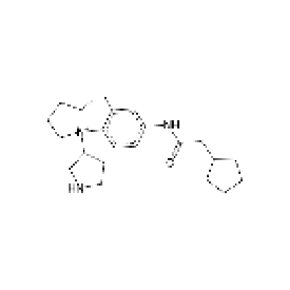 Cc1cc(NC(=O)CC2CCCC2)ccc1[N+]1(C2CCNC2)CCCC1C